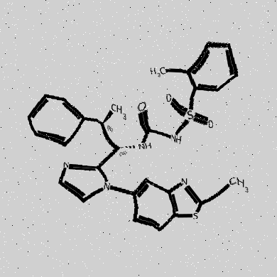 Cc1nc2cc(-n3ccnc3[C@@H](NC(=O)NS(=O)(=O)c3ccccc3C)[C@H](C)c3ccccc3)ccc2s1